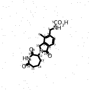 Cc1c(CNC(=O)O)ccc2c1CN(C1CCCC(=O)NC1=O)C2=O